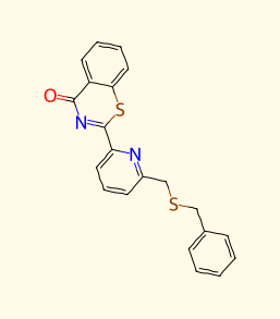 O=c1nc(-c2cccc(CSCc3ccccc3)n2)sc2ccccc12